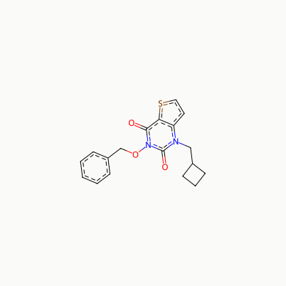 O=c1c2sccc2n(CC2CCC2)c(=O)n1OCc1ccccc1